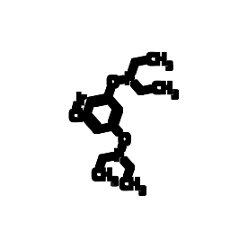 CCP(CC)Oc1cccc(OP(CC)CC)c1.[Cl][Ir]